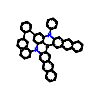 c1ccc(-c2ccccc2-c2cc3c4c(c2)N(c2ccccc2)c2cc5cc6ccccc6cc5cc2B4c2cc4cc5ccccc5cc4cc2N3c2ccccc2)cc1